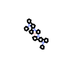 c1ccc(-n2c3ccccc3c3cc4c(cc32)c2cccc3c2n4-c2cccc4c2B3c2cccc3c5c(ccc6c7ccccc7n(-c7ccccc7)c65)n-4c23)cc1